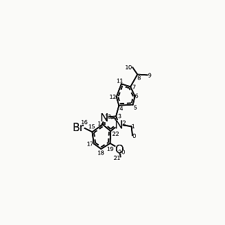 CCn1c(-c2ccc(C(C)C)cc2)nc2c(Br)ccc(OC)c21